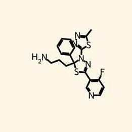 Cc1nnc(N2N=C(c3cnccc3F)SC2(CCCN)c2ccccc2)s1